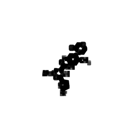 COC[C@@H](NC(=O)c1ccc(Br)s1)C(=O)Nc1cc(C)c(N2CCOCC2=O)cc1F